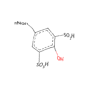 CCCCCCCCCc1cc(S(=O)(=O)O)c(O)c(S(=O)(=O)O)c1